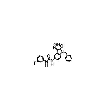 O=C(Nc1cccc(F)c1)Nc1ccc2c(c1)/C(=N/O)C(=O)N2Cc1ccccc1